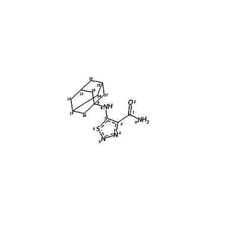 NC(=O)c1nnsc1NC12CC3CC(CC(C3)C1)C2